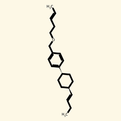 C/C=C/CCOCc1ccc([C@H]2CC[C@H](/C=C/CC)CC2)cc1